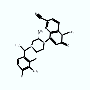 Cc1c(F)ccc(C(C)N2CCN(c3cc(=O)n(C)c4ccc(C#N)nc34)[C@@H](C)C2)c1Cl